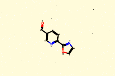 O=Cc1ccc(-c2ncco2)nc1